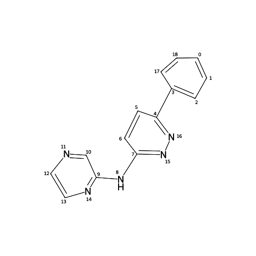 c1ccc(-c2ccc(Nc3cnccn3)nn2)cc1